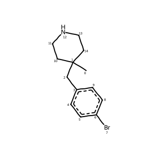 CC1(Cc2ccc(Br)cc2)CCNCC1